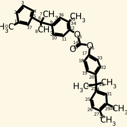 Cc1cccc(C(C)(C)c2ccc(OC(=O)Oc3ccc(C(C)(C)c4ccc(C)c(C)c4)cc3)c(C)c2)c1